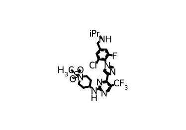 CC(C)NCc1cc(F)c(-n2cnc(-c3nc(NC4CCN(S(C)(=O)=O)CC4)ncc3C(F)(F)F)c2)c(Cl)c1